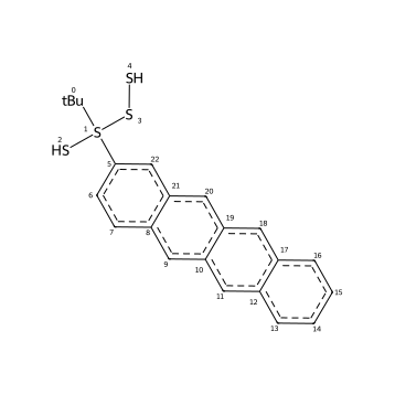 CC(C)(C)S(S)(SS)c1ccc2cc3cc4ccccc4cc3cc2c1